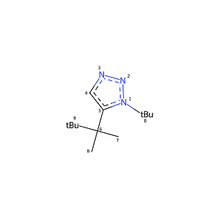 CC(C)(C)n1nncc1C(C)(C)C(C)(C)C